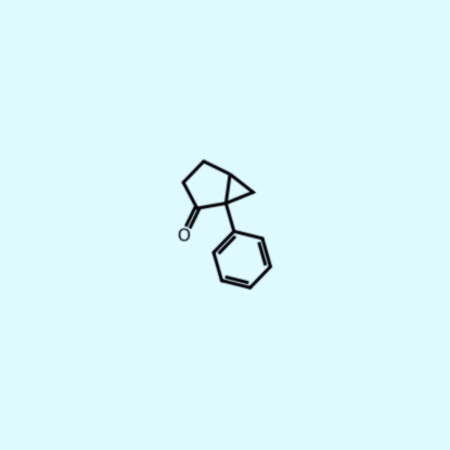 O=C1CCC2CC12c1ccccc1